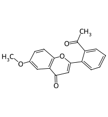 COc1ccc2oc(-c3ccccc3C(C)=O)cc(=O)c2c1